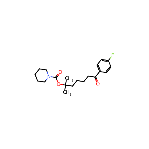 CC(C)(CCCCC(=O)c1ccc(F)cc1)OC(=O)N1CCCCC1